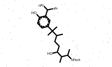 CCCCCC(C)C(C)C(O)CCC(C)C(C)(C)c1ccc(O)c(C(CCC)CCC)c1